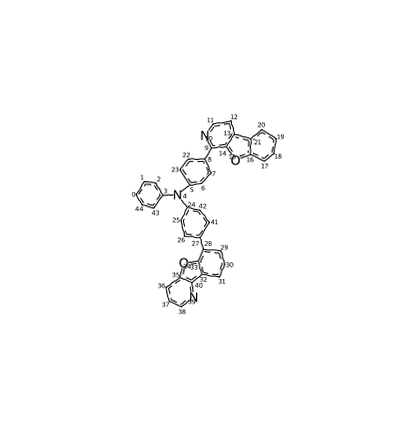 c1ccc(N(c2ccc(-c3nccc4c3oc3ccccc34)cc2)c2ccc(-c3cccc4c3oc3cccnc34)cc2)cc1